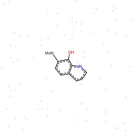 CNc1ccc2cccnc2c1O